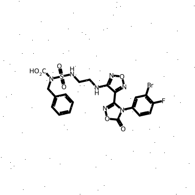 O=C(O)N(Cc1ccccc1)S(=O)(=O)NCCNc1nonc1-c1noc(=O)n1-c1ccc(F)c(Br)c1